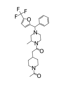 CC(=O)N1CCC(CC(=O)N2CCN(C(c3ccccc3)c3ccc(C(F)(F)F)o3)CC2C)CC1